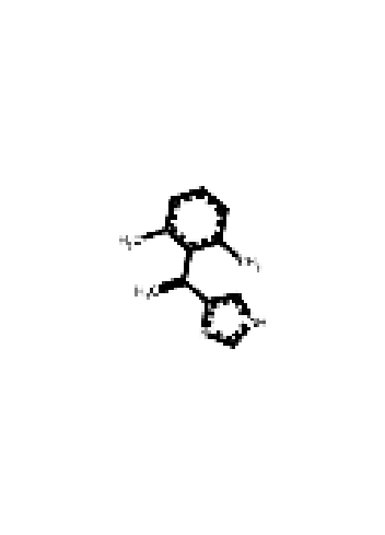 C=C(c1c[nH]cn1)c1c(C)cccc1C